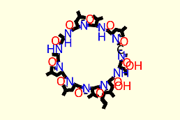 C/C=C/CC(C)C(O)C1C(=O)NC(C(C)O)C(=O)N(C)CC(=O)N(C)C(CC(C)C)C(=O)NC(C(C)C)C(=O)N(C)C(CC(C)C)C(=O)NC(C)C(=O)NC(C)C(=O)N(C)C(CC(C)C)C(=O)N(C)C(CC(C)C)C(=O)N(C)C(C(C)C)C(=O)N1C